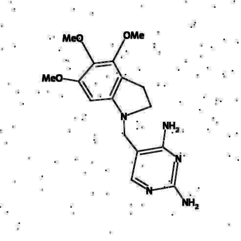 COc1cc2c(c(OC)c1OC)CCN2Cc1cnc(N)nc1N